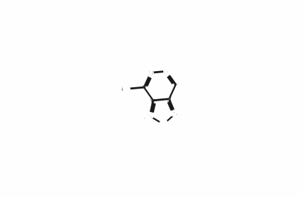 CC(C)c1nncc2nonc12